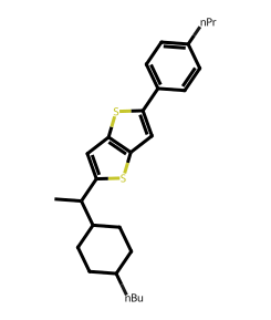 CCCCC1CCC(C(C)c2cc3sc(-c4ccc(CCC)cc4)cc3s2)CC1